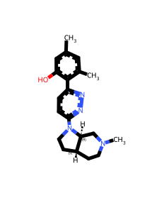 Cc1cc(C)c(-c2ccc(N3CC[C@@H]4CCN(C)C[C@@H]43)nn2)c(O)c1